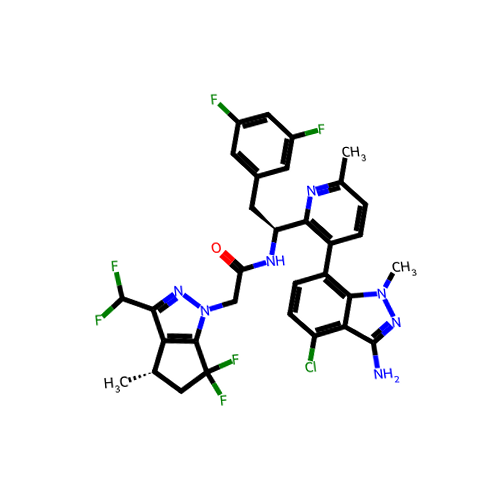 Cc1ccc(-c2ccc(Cl)c3c(N)nn(C)c23)c([C@H](Cc2cc(F)cc(F)c2)NC(=O)Cn2nc(C(F)F)c3c2C(F)(F)C[C@@H]3C)n1